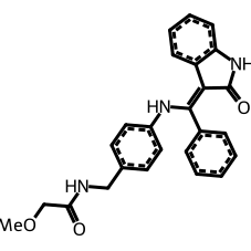 COCC(=O)NCc1ccc(NC(=C2C(=O)Nc3ccccc32)c2ccccc2)cc1